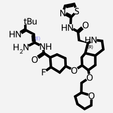 CC(C)(C)C(=N)/C=C(\N)NC(=O)C1CCC(OC2CC3C(CCN[C@@H]3CC(=O)Nc3nccs3)CC2OCC2CCCCO2)CC1F